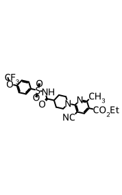 CCOC(=O)c1cc(C#N)c(N2CCC(C(=O)NS(=O)(=O)c3ccc(OC(F)(F)F)cc3)CC2)nc1C